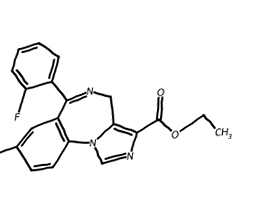 CCOC(=O)c1ncn2c1CN=C(c1ccccc1F)c1cc(Cl)ccc1-2